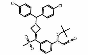 CC(C)(C)ON(C=C=O)c1cccc(C(=C2CN(C(c3ccc(Cl)cc3)c3ccc(Cl)cc3)C2)S(C)(=O)=O)c1